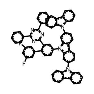 Fc1cc(F)cc(-c2ccc(-n3c4cc(-n5c6ccccc6c6ccccc65)ccc4c4ccc(-n5c6ccccc6c6ccccc65)cc43)cc2-c2nc(-c3ccccc3)nc(-c3ccccc3)n2)c1